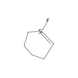 F[Si]1=CCCCC1